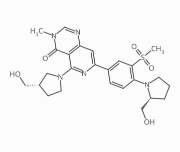 Cn1cnc2cc(-c3ccc(N4CCC[C@H]4CO)c(S(C)(=O)=O)c3)nc(N3CC[C@H](CO)C3)c2c1=O